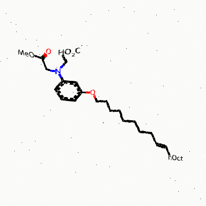 CCCCCCCCC=CCCCCCCCCOc1cccc(N(CC(=O)O)CC(=O)OC)c1